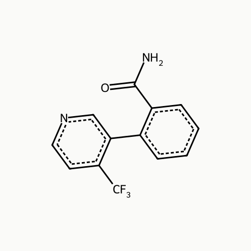 NC(=O)c1ccccc1-c1cnccc1C(F)(F)F